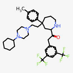 Cc1ccc(C2(CCN3CCN(C4CCCCC4)CC3)CCCNC(C(=O)Cc3cc(C(F)(F)F)cc(C(F)(F)F)c3)C2)cc1